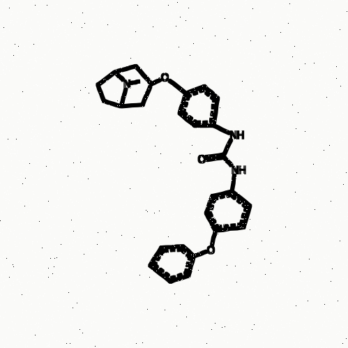 CN1C2CCC1CC(Oc1ccc(NC(=O)Nc3ccc(Oc4ccccc4)cc3)cc1)C2